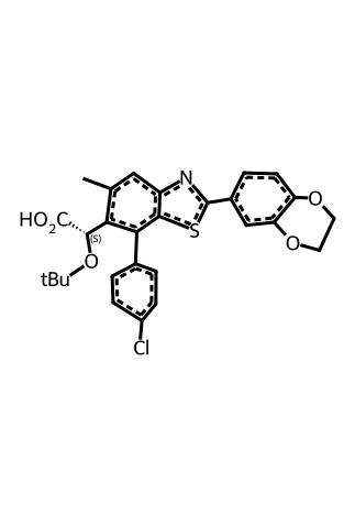 Cc1cc2nc(-c3ccc4c(c3)OCCO4)sc2c(-c2ccc(Cl)cc2)c1[C@H](OC(C)(C)C)C(=O)O